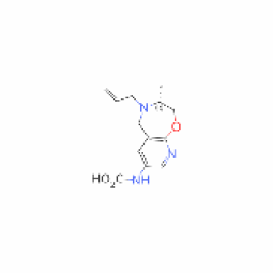 C=CCN1Cc2cc(NC(=O)O)cnc2OC[C@H]1C